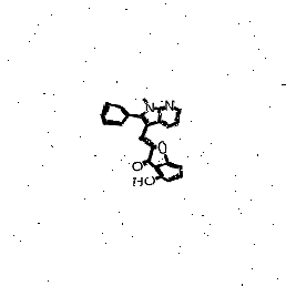 Cn1c(-c2ccccc2)c(C=C2Oc3cccc(O)c3C2=O)c2cccnc21